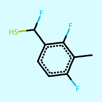 Cc1c(F)ccc(C(F)S)c1F